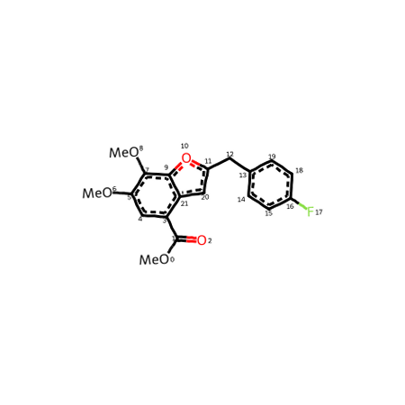 COC(=O)c1cc(OC)c(OC)c2oc(Cc3ccc(F)cc3)cc12